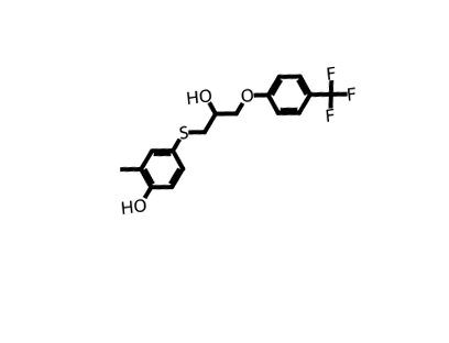 Cc1cc(SCC(O)COc2ccc(C(F)(F)F)cc2)ccc1O